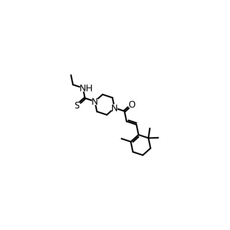 CCNC(=S)N1CCN(C(=O)C=CC2=C(C)CCCC2(C)C)CC1